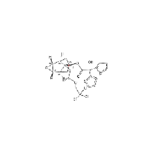 C[N+]1(CC(=O)OCC(Cl)(Cl)Cl)[C@@H]2C[C@@H](OC(=O)C(O)(c3cccs3)c3cccs3)C[C@H]1[C@@H]1O[C@@H]12